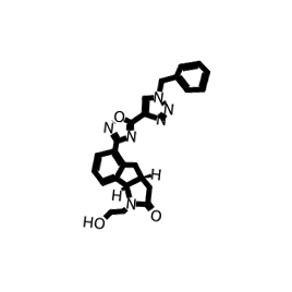 O=C1C[C@H]2Cc3c(-c4noc(-c5cn(Cc6ccccc6)nn5)n4)cccc3[C@H]2N1CCO